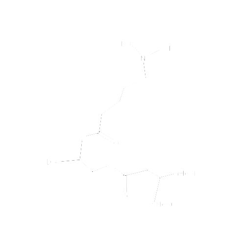 CCCCCCCCCCC(COC(=O)CC(CCCCCCC)CCCCCCC)OC(=O)CCCCN(C)C